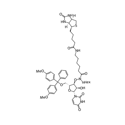 CCCCCCN(O[C@H]1[C@@H](O)[C@H](n2ccc(=O)[nH]c2=O)O[C@@H]1COC(c1ccccc1)(c1ccc(OC)cc1)c1ccc(OC)cc1)C(=O)CCCCCNC(=O)CCCC[C@@H]1SC[C@@H]2NC(=O)N[C@@H]21